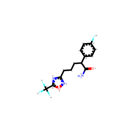 NC(=O)C(CCCc1noc(C(F)(F)F)n1)c1ccc(F)cc1